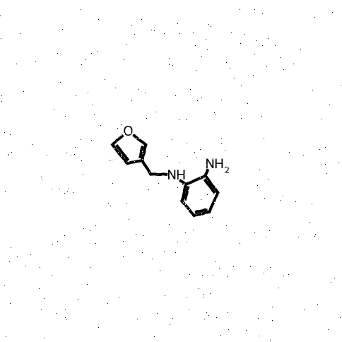 Nc1ccccc1NCc1ccoc1